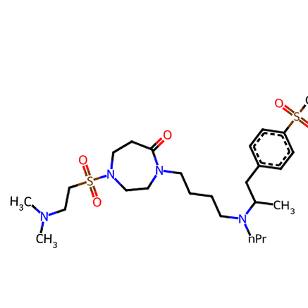 CCCN(CCCCN1CCN(S(=O)(=O)CCN(C)C)CCC1=O)C(C)Cc1ccc(S(C)(=O)=O)cc1